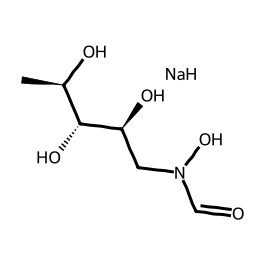 C[C@@H](O)[C@@H](O)[C@@H](O)CN(O)C=O.[NaH]